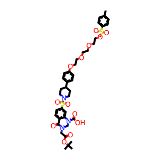 Cc1ccc(S(=O)(=O)OCCOCCOCCOc2ccc(C3CCN(S(=O)(=O)c4ccc5c(c4)N(C(=O)O)CN(CC(=O)OC(C)(C)C)C5=O)CC3)cc2)cc1